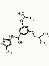 Cc1cc(NC(O)c2cc(OCC(C)C)cc(OC(C)C)c2)n[nH]1